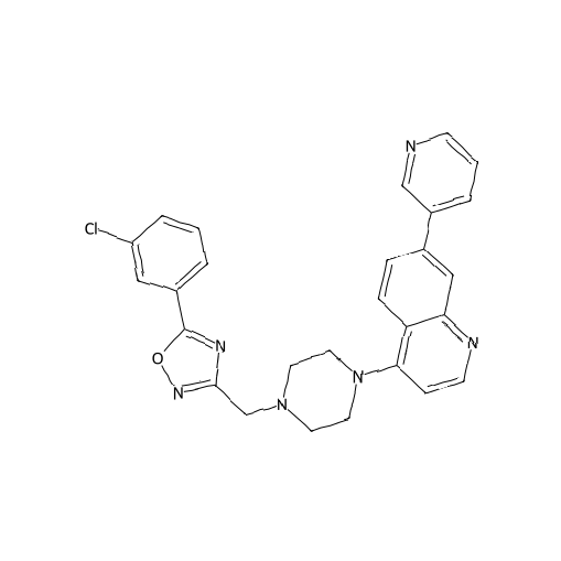 Clc1cccc(-c2nc(CN3CCN(c4ccnc5cc(-c6cccnc6)ccc45)CC3)no2)c1